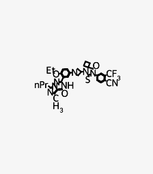 CCCc1nc(C)c2c(=O)[nH]c(-c3cc(N4CC(N5C(=S)N(c6ccc(C#N)c(C(F)(F)F)c6)C(=O)C56CCC6)C4)ccc3OCC)nn12